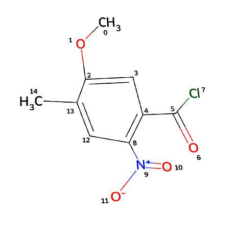 COc1cc(C(=O)Cl)c([N+](=O)[O-])cc1C